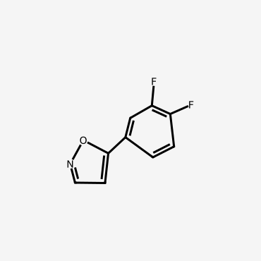 Fc1ccc(-c2ccno2)cc1F